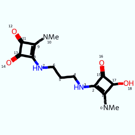 CNC1=C(NCCCNc2c(NC)c(=O)c2=O)C(=O)C1O